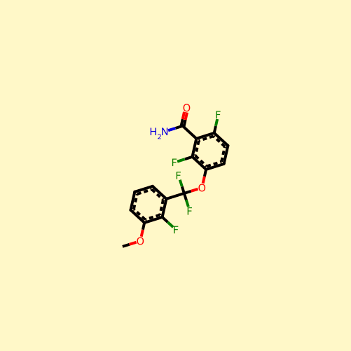 COc1cccc(C(F)(F)Oc2ccc(F)c(C(N)=O)c2F)c1F